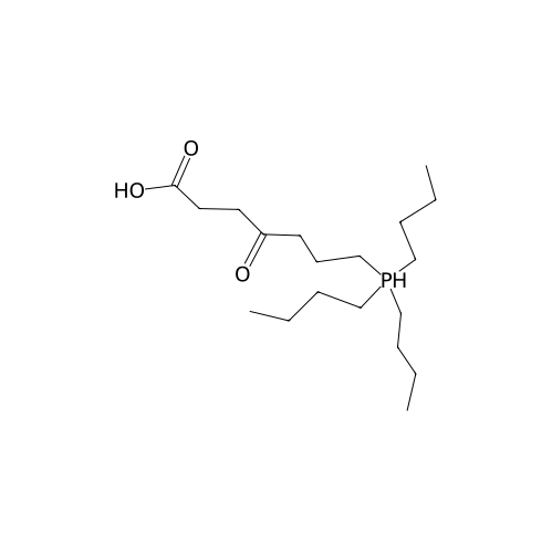 CCCC[PH](CCCC)(CCCC)CCCC(=O)CCC(=O)O